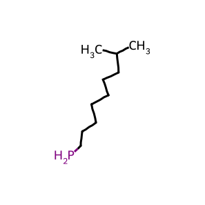 CC(C)CCCCCCCP